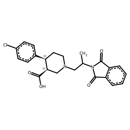 CC(CN1CC[C@H](c2ccc(Cl)cc2)[C@H](C(=O)O)C1)N1C(=O)c2ccccc2C1=O